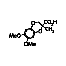 COc1cc2c(cc1OC)OC(C)(C(=O)O)CO2